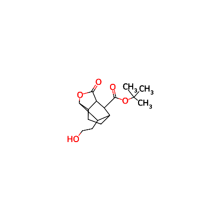 CC(C)(C)OC(=O)C1C2CCC3C(OC(=O)C31)C2CCO